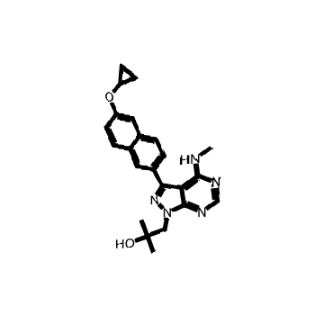 CNc1ncnc2c1c(-c1ccc3cc(OC4CC4)ccc3c1)nn2CC(C)(C)O